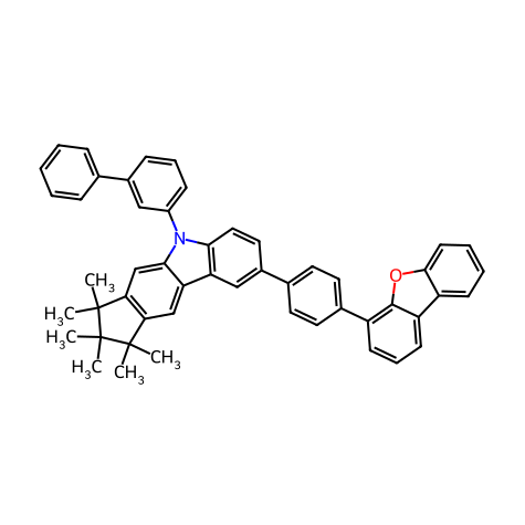 CC1(C)c2cc3c4cc(-c5ccc(-c6cccc7c6oc6ccccc67)cc5)ccc4n(-c4cccc(-c5ccccc5)c4)c3cc2C(C)(C)C1(C)C